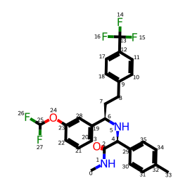 CNC(=O)[C@@H](N[C@H](CCc1ccc(C(F)(F)F)cc1)c1cccc(OC(F)F)c1)c1ccc(C)cc1